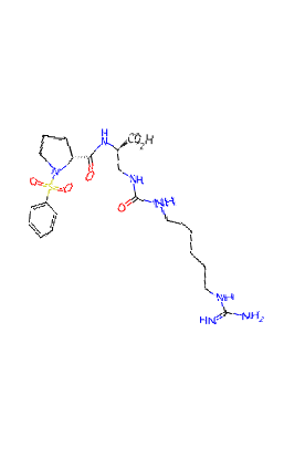 N=C(N)NCCCCCNC(=O)NC[C@@H](NC(=O)[C@H]1CCCN1S(=O)(=O)c1ccccc1)C(=O)O